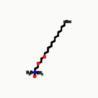 CCCCCCCCCCCCCCCCCCCCCCOCCOCC[N+](C)(C)[O-]